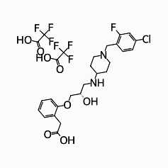 O=C(O)C(F)(F)F.O=C(O)C(F)(F)F.O=C(O)Cc1ccccc1OC[C@@H](O)CNC1CCN(Cc2ccc(Cl)cc2F)CC1